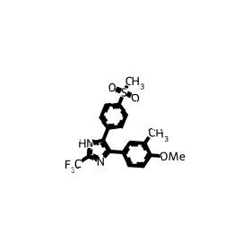 COc1ccc(-c2nc(C(F)(F)F)[nH]c2-c2ccc(S(C)(=O)=O)cc2)cc1C